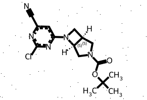 CC(C)(C)OC(=O)N1C[C@@H]2CN(c3cc(C#N)nc(Cl)n3)[C@@H]2C1